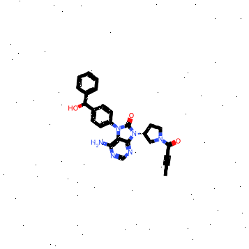 CC#CC(=O)N1CC[C@@H](n2c(=O)n(-c3ccc(C(O)c4ccccc4)cc3)c3c(N)ncnc32)C1